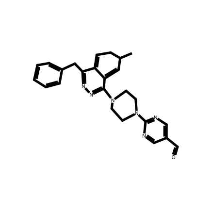 CC1C=c2c(N3CCN(c4ncc(C=O)cn4)CC3)nnc(Cc3ccccc3)c2=CC1